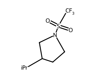 CC(C)C1CCN(S(=O)(=O)C(F)(F)F)C1